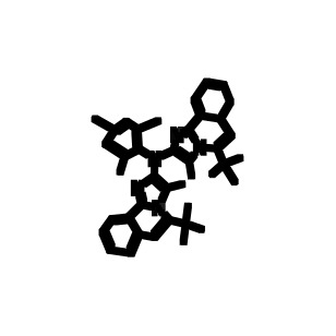 Cc1cc(C)c(N(c2nc3n(c2C)C(C(C)(C)C)=CC2CC=CC=C32)c2nc3c4ccccc4cc(C(C)(C)C)n3c2C)c(C)c1